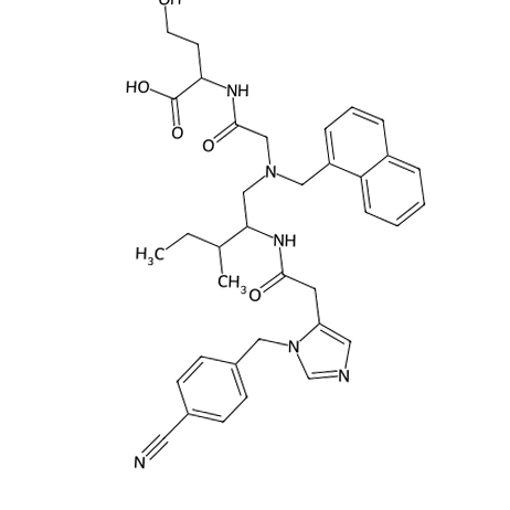 CCC(C)C(CN(CC(=O)NC(CCO)C(=O)O)Cc1cccc2ccccc12)NC(=O)Cc1cncn1Cc1ccc(C#N)cc1